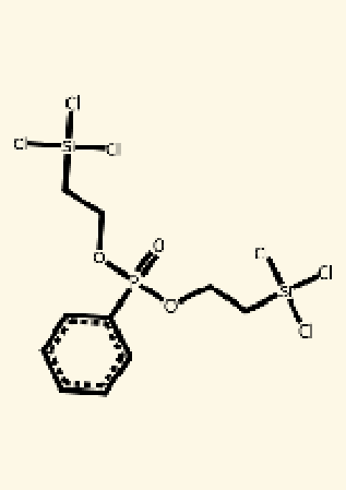 O=P(OCC[Si](Cl)(Cl)Cl)(OCC[Si](Cl)(Cl)Cl)c1ccccc1